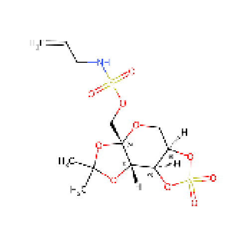 C=CCNS(=O)(=O)OC[C@@]12OC[C@H]3OS(=O)(=O)O[C@H]3[C@@H]1OC(C)(C)O2